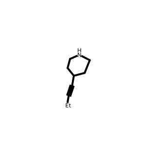 CCC#CC1CCNCC1